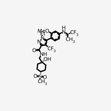 CCn1nc(C(=O)NC[C@]2(O)CC[C@@H](S(C)(=O)=O)CC2)c(C(F)(F)F)c1-c1ccc(N[C@H](C)C(F)(F)F)cc1OC